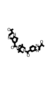 CC(=O)c1cnc2cc(C(=O)N3CC4(C)CN(C(=O)c5ccc6nc(C(C)=O)cnc6c5)CC(C)(C3)C4)ccc2n1